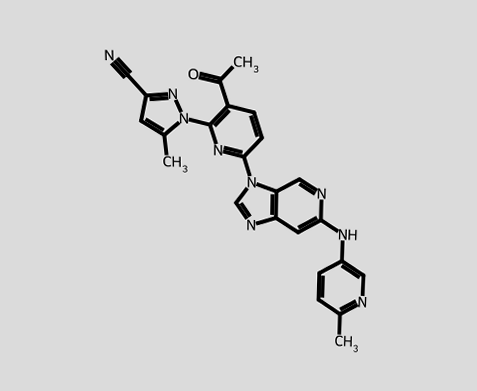 CC(=O)c1ccc(-n2cnc3cc(Nc4ccc(C)nc4)ncc32)nc1-n1nc(C#N)cc1C